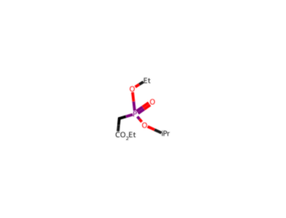 CCOC(=O)CP(=O)(OCC)OC(C)C